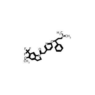 COc1cc2c(cc1C(F)(F)F)N(C(=O)Cc1ccc(OC(CCN(C)C)c3ccccc3)nc1)CC2